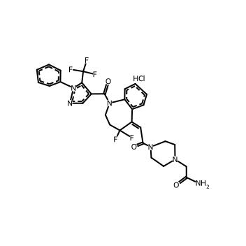 Cl.NC(=O)CN1CCN(C(=O)C=C2c3ccccc3N(C(=O)c3cnn(-c4ccccc4)c3C(F)(F)F)CCC2(F)F)CC1